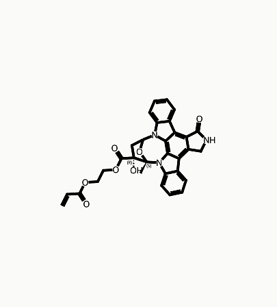 C=CC(=O)OCCOC(=O)[C@@]1(O)CC2O[C@]1(C)n1c3ccccc3c3c4c(c5c6ccccc6n2c5c31)C(=O)NC4